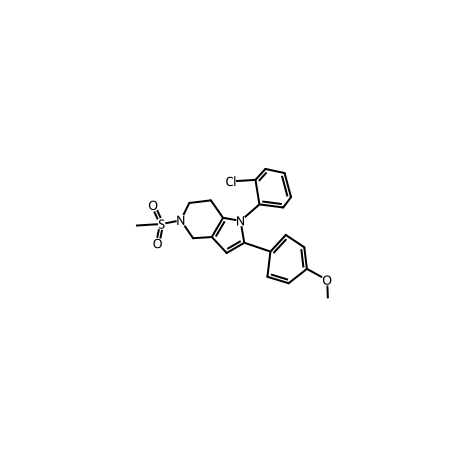 COc1ccc(-c2cc3c(n2-c2ccccc2Cl)CCN(S(C)(=O)=O)C3)cc1